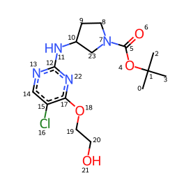 CC(C)(C)OC(=O)N1CCC(Nc2ncc(Cl)c(OCCO)n2)C1